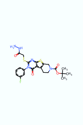 CC(C)(C)OC(=O)N1CCc2c(sc3nc(SCC(=O)NN)n(-c4cccc(F)c4)c(=O)c23)C1